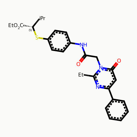 CCOC(=O)[C@@H](Sc1ccc(NC(=O)Cn2c(CC)nc(-c3ccccc3)cc2=O)cc1)C(C)C